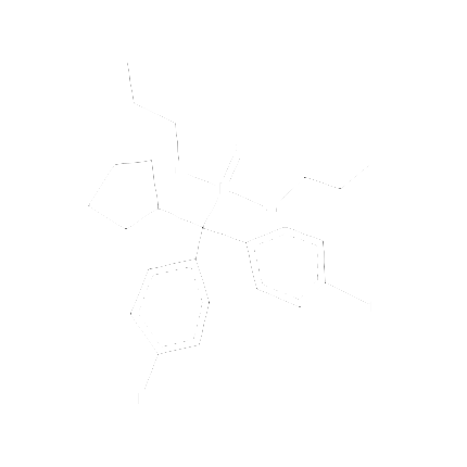 CCCOP(=O)(OCCC)C(c1ccc(F)cc1)(c1ccc(F)cc1)C1CCCC1